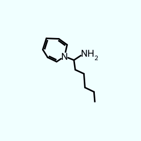 CCCCCC(N)N1C=CC=CC=C1